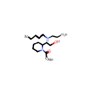 CC(C)COC(=O)N1CCCCC1CCO.CCOC(=O)CCNCCCCC(C)=O